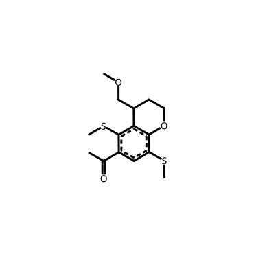 COCC1CCOc2c(SC)cc(C(C)=O)c(SC)c21